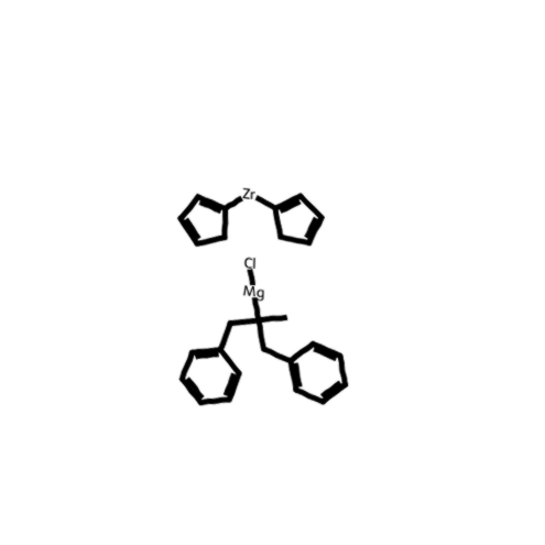 C1=CC[C]([Zr][C]2=CC=CC2)=C1.C[C](Cc1ccccc1)(Cc1ccccc1)[Mg][Cl]